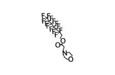 O=C(CCN1CCOCC1)OCCC(F)(F)C(F)(F)C(F)(F)C(F)(F)C(F)(F)C(F)(F)F